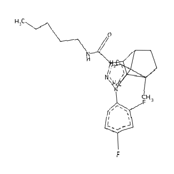 CCCCCNC(=O)c1nn(-c2ccc(F)cc2F)c2c1C1CCC2(C)C1(C)C